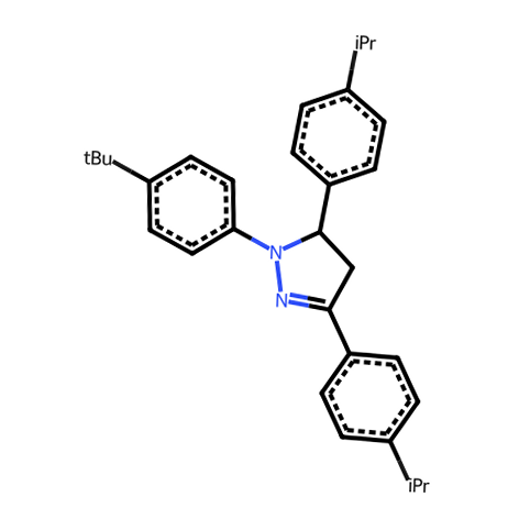 CC(C)c1ccc(C2=NN(c3ccc(C(C)(C)C)cc3)C(c3ccc(C(C)C)cc3)C2)cc1